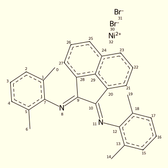 Cc1cccc(C)c1N=C1C(=Nc2c(C)cccc2C)c2cccc3cccc1c23.[Br-].[Br-].[Ni+2]